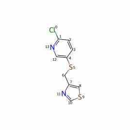 Clc1ccc(SCc2cscn2)cn1